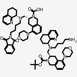 CC(C)(C)OC(=O)N1Cc2cccc(N3CCOCC3)c2C[C@@H]1CN(CCCCN)[C@H]1CCCc2cccnc21.O=C1c2ccccc2C(=O)N1CCCCN(C[C@H]1Cc2c(cccc2N2CCOCC2)CN1C(=O)O)[C@H]1CCCc2cccnc21